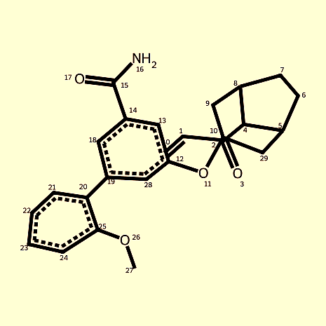 C=CC(=O)C1C2CCC1CC(Oc1cc(C(N)=O)cc(-c3ccccc3OC)c1)C2